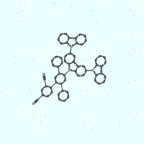 N#Cc1ccc(-c2cc(-c3ccccc3)c(-n3c4ccc(-n5c6ccccc6c6ccccc65)cc4c4cc(-n5c6ccccc6c6ccccc65)ccc43)cc2-c2ccccc2)c(C#N)c1